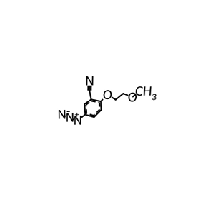 COCCOc1ccc(N=[N+]=[N-])cc1C#N